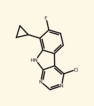 Fc1ccc2c([nH]c3ncnc(Cl)c32)c1C1CC1